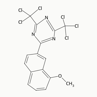 COc1cccc2ccc(-c3nc(C(Cl)(Cl)Cl)nc(C(Cl)(Cl)Cl)n3)cc12